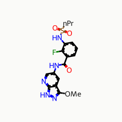 CCCS(=O)(=O)Nc1cccc(C(=O)Nc2cnc3[nH]nc(OC)c3c2)c1F